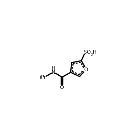 CC(C)NC(=O)c1coc(S(=O)(=O)O)c1